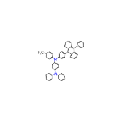 FC(F)(F)c1ccc(N(c2ccc(-c3c4ccccc4c(-c4ccccc4)c4ccccc34)cc2)c2ccc(N(c3ccccc3)c3ccccc3)cc2)cc1